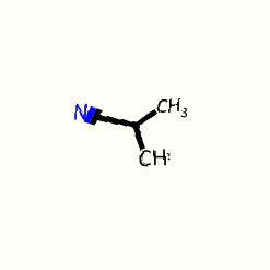 [CH]C(C)C#N